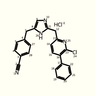 Cl.N#Cc1ccc(Cc2cnc(Cc3ccc(-c4ccccc4)c(Cl)n3)[nH]2)cc1